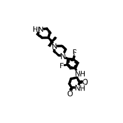 CC(C)(C1CCNCC1)N1CCN(c2c(F)cc(NC3CCC(=O)NC3=O)cc2F)CC1